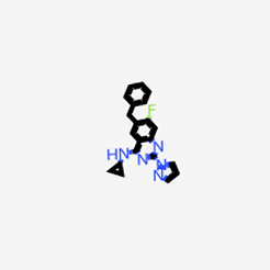 Fc1cc2nc(-n3cccn3)nc(NC3CC3)c2cc1Cc1ccccc1